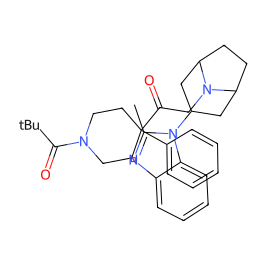 Cc1nc2ccccc2n1C1CC2CCC(C1)N2CC(=O)C1(c2ccccc2)CCN(C(=O)C(C)(C)C)CC1